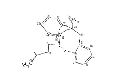 CCCCC12Cc3ccccc3CC(C)(N1)c1ccccc12